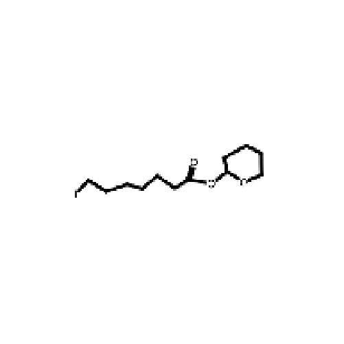 O=C(CCCCCCI)OC1CCCCO1